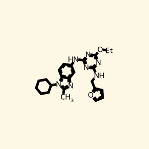 CCOc1nc(NCc2ccco2)nc(Nc2ccc3c(c2)nc(C)n3C2CCCCC2)n1